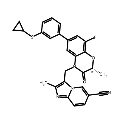 Cc1nc2ccc(C#N)cn2c1CN1C(=O)[C@@H](C)Oc2c(F)cc(-c3cccc(SC4CC4)c3)cc21